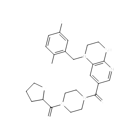 O=C(c1cnc2c(c1)N(Cc1cc(Cl)ccc1Cl)CCN2)N1CCN(C(=O)C2CCCO2)CC1